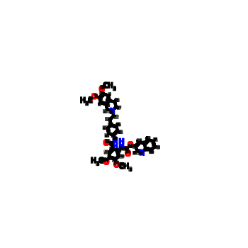 COc1cc2c(cc1OC)CN(CCc1ccc(NC(=O)c3cc(OC)c(OC)cc3NC(=O)Oc3cnc4ccccc4c3)cc1)CC2